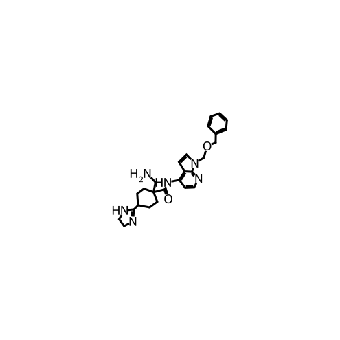 NCC1(C(=O)Nc2ccnc3c2ccn3COCc2ccccc2)CCC(C2=NCCN2)CC1